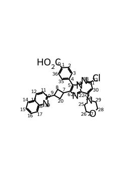 O=C(O)c1ccc(-c2c(C3CC(c4ccc5ccccc5n4)C3)nc3c(N4CCOCC4)cc(Cl)nn23)cc1